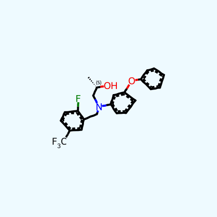 C[C@H](O)CN(Cc1cc(C(F)(F)F)ccc1F)c1cccc(Oc2ccccc2)c1